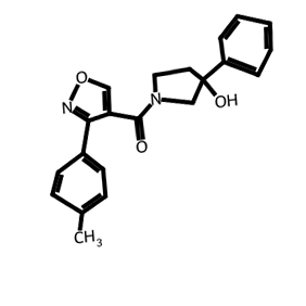 Cc1ccc(-c2nocc2C(=O)N2CCC(O)(c3ccccc3)C2)cc1